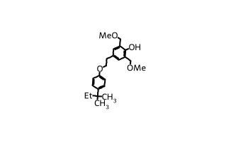 CCC(C)(C)c1ccc(OCCc2cc(COC)c(O)c(COC)c2)cc1